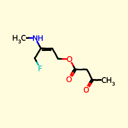 CNC(=CCOC(=O)CC(C)=O)CF